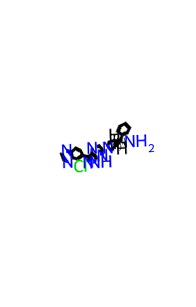 NC[C@@]1(c2ccccc2)[C@@H]2CN(c3cnc4c(-c5ccc6nccnc6c5Cl)n[nH]c4n3)C[C@@H]21